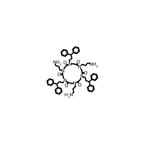 NCCCN1CC(=O)N(CCC(c2ccccc2)c2ccccc2)CC(=O)N(CCCN)CC(=O)N(CCC(c2ccccc2)c2ccccc2)CC(=O)N(CCCN)CC(=O)N(CCC(c2ccccc2)c2ccccc2)CC1=O